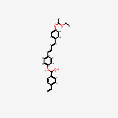 C=Cc1ccc(C(O)Oc2ccc(C=CC=Cc3ccc(OC(C)OCC)cc3)cc2)cc1